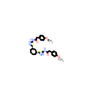 COc1ccc(CC(=O)Nc2nnc([C@@H]3CCCC[C@@H](c4nnc(NC(=O)Cc5ccc(OC)cc5)s4)C3)s2)cc1